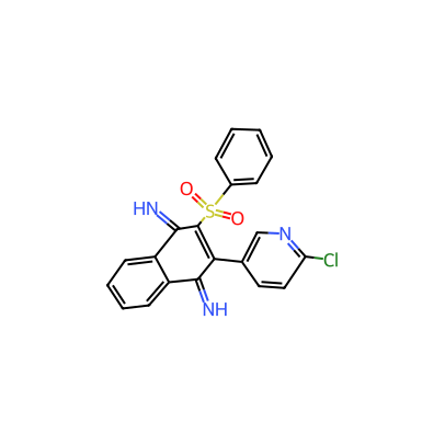 N=C1C(c2ccc(Cl)nc2)=C(S(=O)(=O)c2ccccc2)C(=N)c2ccccc21